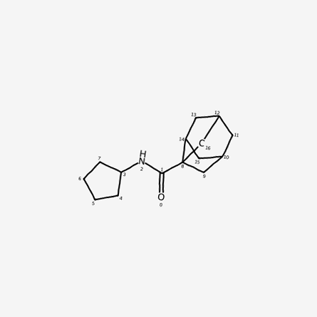 O=C(NC1CCCC1)C12CC3CC(CC1C3)C2